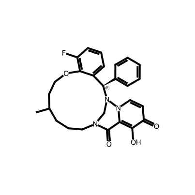 CC1CCCN2CN([C@H](c3ccccc3)c3cccc(F)c3OCC1)n1ccc(=O)c(O)c1C2=O